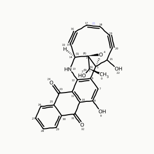 C[C@@H](O)[C@@]12O[C@]13c1cc(O)c4c(c1N[C@H]2C#C/C=C\C#CC3O)C(=O)c1ccccc1C4=O